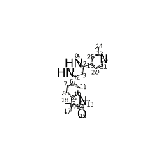 CN/C(=C\C(=N)c1ccc2c(c1)N(C)C(=O)C2(C)C)c1ccnc(C)c1